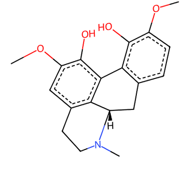 COc1ccc2c(c1O)-c1c(O)c(OC)cc3c1[C@H](C2)N(C)CC3